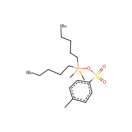 Cc1ccc(S(=O)(=O)OP(C)(C)(CCCCC(C)(C)C)CCCCC(C)(C)C)cc1